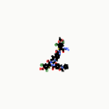 CCC(CNC(=O)c1c(NC(=O)c2ccc(CN(C(C)=O)C3CCCC3)cc2)sc2c(Cl)c(O)c(Cl)cc12)N(Cc1ccc(C(=O)Nc2sc3c(Cl)c(OC(C)=O)c(Cl)cc3c2C(N)=O)cc1)C(C)=O